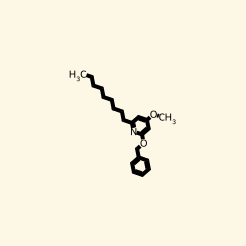 CCCCCCCCCc1cc(OC)cc(OCc2ccccc2)n1